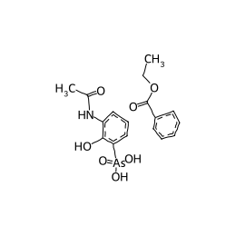 CC(=O)Nc1cccc([As](=O)(O)O)c1O.CCOC(=O)c1ccccc1